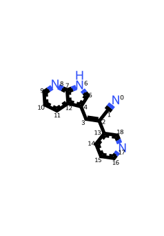 N#CC(=Cc1c[nH]c2ncccc12)c1cccnc1